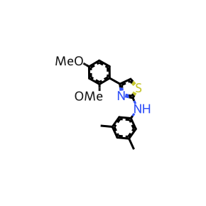 COc1ccc(-c2csc(Nc3cc(C)cc(C)c3)n2)c(OC)c1